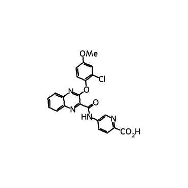 COc1ccc(Oc2nc3ccccc3nc2C(=O)Nc2ccc(C(=O)O)nc2)c(Cl)c1